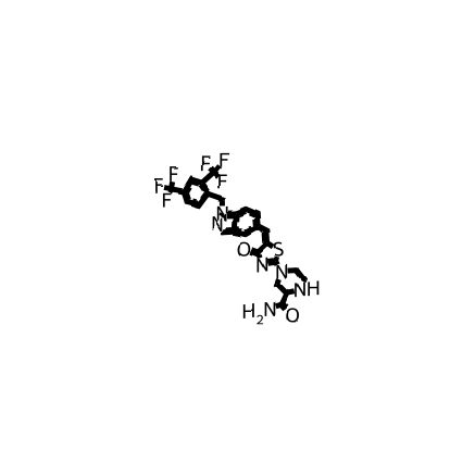 NC(=O)C1CN(C2=NC(=O)C(=Cc3ccc4c(cnn4Cc4ccc(C(F)(F)F)cc4C(F)(F)F)c3)S2)CCN1